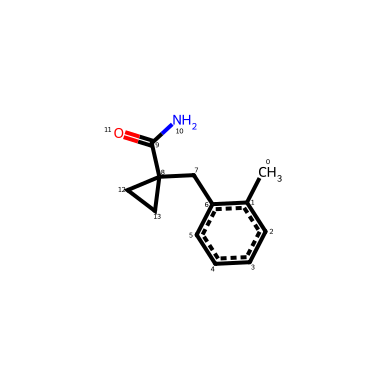 Cc1ccccc1CC1(C(N)=O)CC1